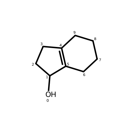 OC1CCC2=C1CCCC2